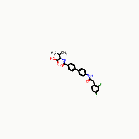 CC(C)[C@@H](NC(=O)c1ccc(-c2ccc(NC(=O)Cc3ccc(F)cc3F)cc2)cc1)C(=O)O